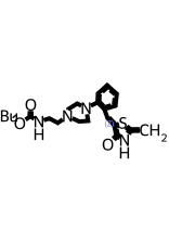 C=c1[nH]c(=O)/c(=C/c2ccccc2N2CCN(CCNC(=O)OC(C)(C)C)CC2)s1